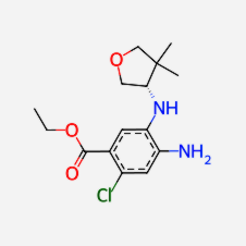 CCOC(=O)c1cc(N[C@@H]2COCC2(C)C)c(N)cc1Cl